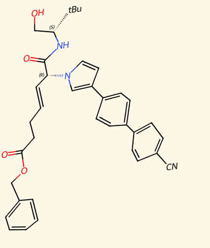 CC(C)(C)[C@@H](CO)NC(=O)[C@@H](C=CCCC(=O)OCc1ccccc1)n1ccc(-c2ccc(-c3ccc(C#N)cc3)cc2)c1